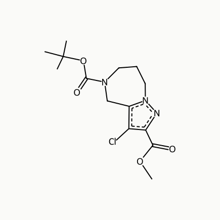 COC(=O)c1nn2c(c1Cl)CN(C(=O)OC(C)(C)C)CCC2